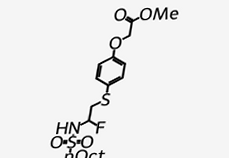 CCCCCCCCS(=O)(=O)NC(F)CSc1ccc(OCC(=O)OC)cc1